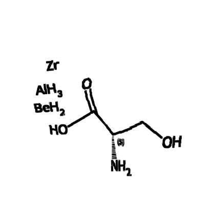 N[C@@H](CO)C(=O)O.[AlH3].[BeH2].[Zr]